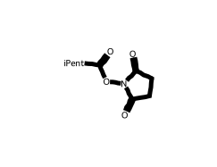 CCCC(C)C(=O)ON1C(=O)CCC1=O